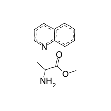 COC(=O)C(C)N.c1ccc2ncccc2c1